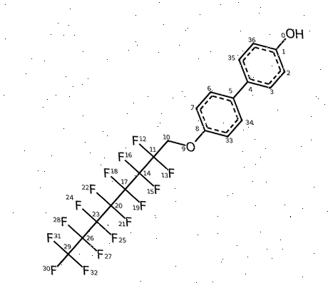 Oc1ccc(-c2ccc(OCC(F)(F)C(F)(F)C(F)(F)C(F)(F)C(F)(F)C(F)(F)C(F)(F)F)cc2)cc1